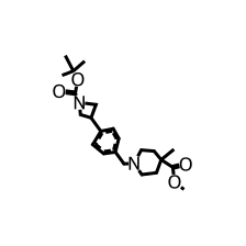 COC(=O)C1(C)CCN(Cc2ccc(C3CN(C(=O)OC(C)(C)C)C3)cc2)CC1